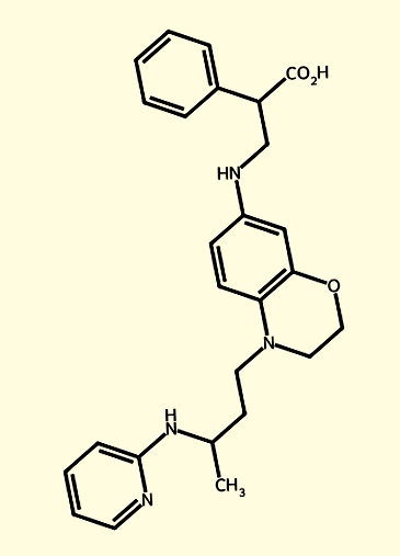 CC(CCN1CCOc2cc(NCC(C(=O)O)c3ccccc3)ccc21)Nc1ccccn1